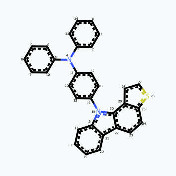 c1ccc(N(c2ccccc2)c2ccc(-n3c4ccccc4c4ccc5sccc5c43)cc2)cc1